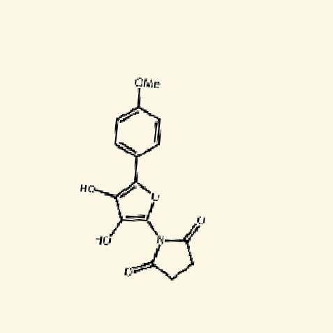 COc1ccc(-c2oc(N3C(=O)CCC3=O)c(O)c2O)cc1